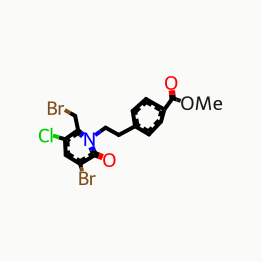 COC(=O)c1ccc(CCn2c(CBr)c(Cl)cc(Br)c2=O)cc1